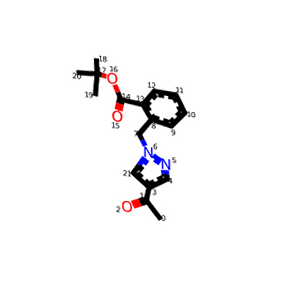 CC(=O)c1cnn(Cc2ccccc2C(=O)OC(C)(C)C)c1